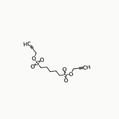 C#CCOS(=O)(=O)CCCCCS(=O)(=O)OCC#C